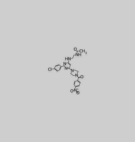 CC(=O)NCCNc1cc(N2CCN(C(=O)c3ccc([N+](=O)[O-])cc3)CC2)nc(-c2ccc(Cl)cc2)n1